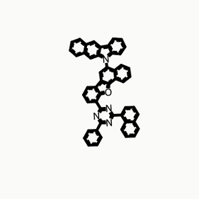 c1ccc(-c2nc(-c3cccc4ccccc34)nc(-c3cccc4c3oc3c5ccccc5c(-n5c6ccccc6c6cc7ccccc7cc65)cc43)n2)cc1